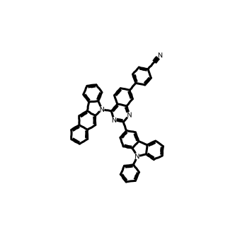 N#Cc1ccc(-c2ccc3c(-n4c5ccccc5c5cc6ccccc6cc54)nc(-c4ccc5c(c4)c4ccccc4n5-c4ccccc4)nc3c2)cc1